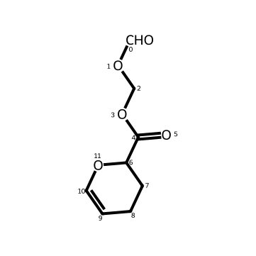 O=COCOC(=O)C1CCC=CO1